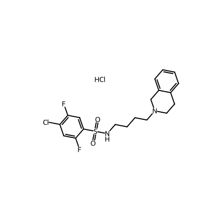 Cl.O=S(=O)(NCCCCN1CCc2ccccc2C1)c1cc(F)c(Cl)cc1F